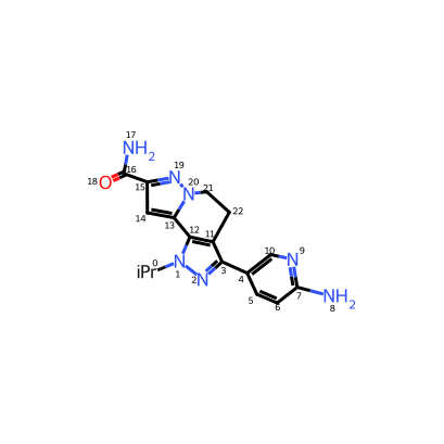 CC(C)n1nc(-c2ccc(N)nc2)c2c1-c1cc(C(N)=O)nn1CC2